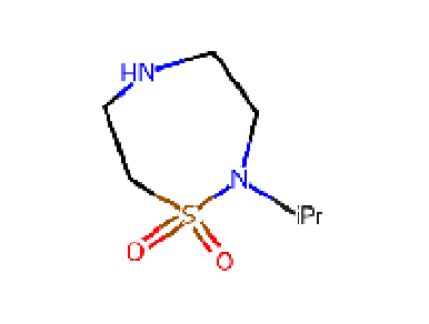 CC(C)N1CCNCCS1(=O)=O